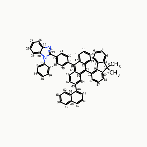 CC1(C)c2ccccc2-c2c(-c3c4ccccc4c(-c4ccc(-c5nc6ccccc6n5-c5ccccc5)cc4)c4ccc(-c5cccc6ccccc56)cc34)cccc21